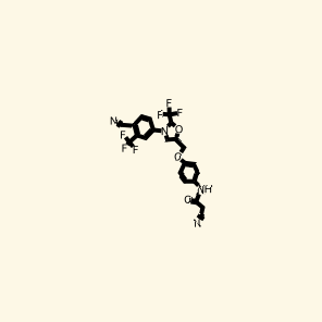 N#CCC(=O)Nc1ccc(OCC2CN(c3ccc(C#N)c(C(F)(F)F)c3)C(C(F)(F)F)O2)cc1